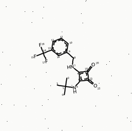 CC(C)(C)Nc1c(NCc2cccc(C(F)(F)F)c2)c(=O)c1=O